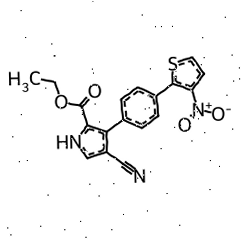 CCOC(=O)c1[nH]cc(C#N)c1-c1ccc(-c2sccc2[N+](=O)[O-])cc1